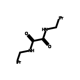 CC(C)CNC(=O)C(=O)NCC(C)C